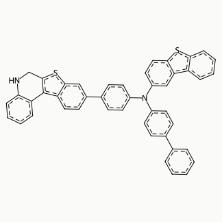 c1ccc(-c2ccc(N(c3ccc(-c4ccc5c6c(sc5c4)CNc4ccccc4-6)cc3)c3ccc4sc5ccccc5c4c3)cc2)cc1